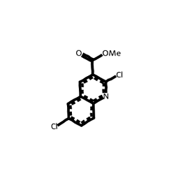 COC(=O)c1cc2cc(Cl)ccc2nc1Cl